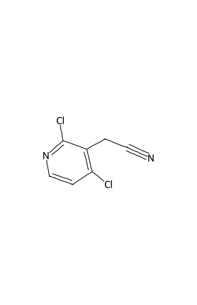 N#CCc1c(Cl)ccnc1Cl